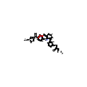 C=CC(=O)Nc1cccc(C2=CC=CC(=C/N=C/N)/C2=N\c2ccc(NC3CCN(C(C)=O)C3)cc2)c1